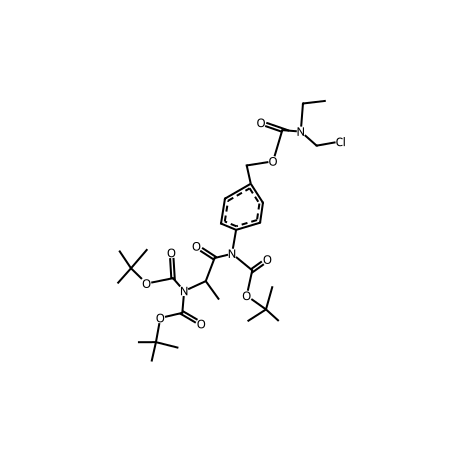 CCN(CCl)C(=O)OCc1ccc(N(C(=O)OC(C)(C)C)C(=O)C(C)N(C(=O)OC(C)(C)C)C(=O)OC(C)(C)C)cc1